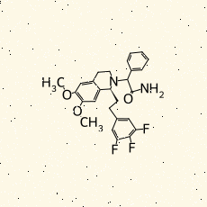 COc1cc2c(cc1OC)[C@H](CCc1cc(F)c(F)c(F)c1)N(C(C(N)=O)c1ccccc1)CC2